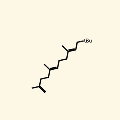 C=C(C)CC/C(C)=C/CC/C(C)=C/CC(C)(C)C